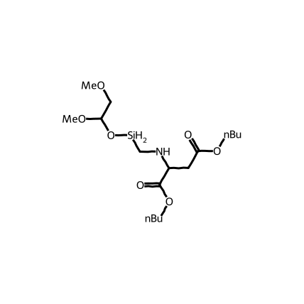 CCCCOC(=O)CC(NC[SiH2]OC(COC)OC)C(=O)OCCCC